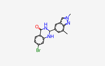 Cc1cc(C2NC(=O)c3ccc(Br)cc3N2)cc2cn(C)nc12